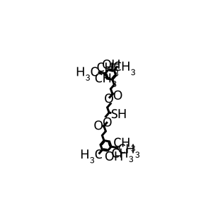 Cc1cc(CCC(=O)OCCC(S)COC(=O)CCc2cc(C)c(O)c(C(C)(C)C)c2)cc(C(C)(C)C)c1O